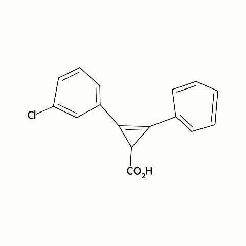 O=C(O)C1C(c2ccccc2)=C1c1cccc(Cl)c1